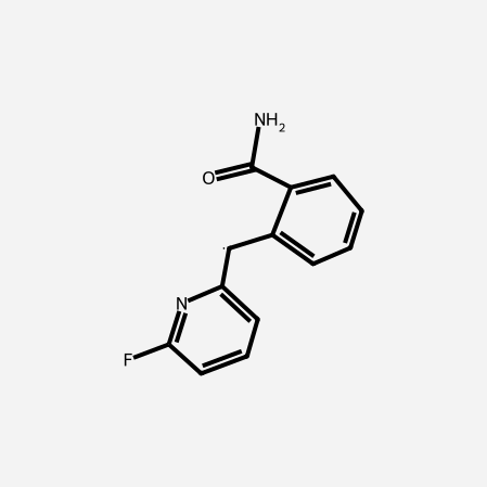 NC(=O)c1ccccc1[CH]c1cccc(F)n1